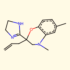 C=CCC1(C2=NCCN2)CN(C)c2cc(C)ccc2O1